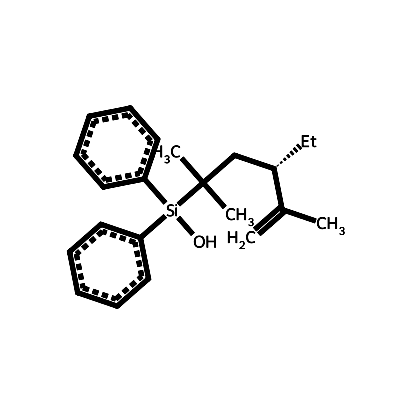 C=C(C)[C@@H](CC)CC(C)(C)[Si](O)(c1ccccc1)c1ccccc1